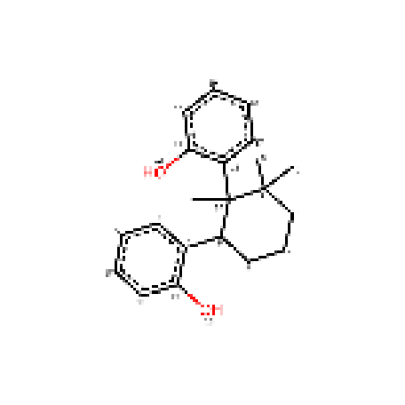 CC1(C)CCCC(c2ccccc2O)C1(C)c1ccccc1O